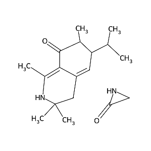 CC1=C2C(=O)C(C)C(C(C)C)C=C2CC(C)(C)N1.O=C1CN1